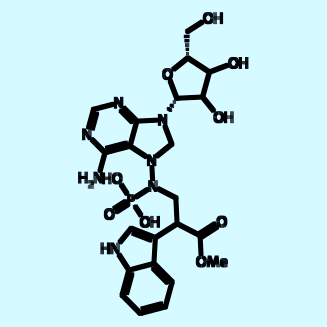 COC(=O)C(CN(N1CN([C@@H]2O[C@H](CO)C(O)C2O)c2ncnc(N)c21)P(=O)(O)O)c1c[nH]c2ccccc12